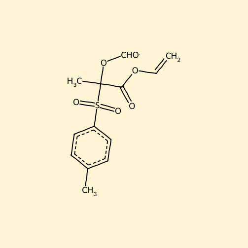 C=COC(=O)C(C)(O[C]=O)S(=O)(=O)c1ccc(C)cc1